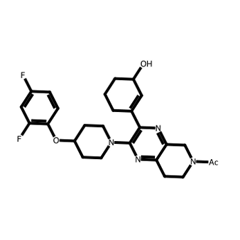 CC(=O)N1CCc2nc(N3CCC(Oc4ccc(F)cc4F)CC3)c(C3=CC(O)CCC3)nc2C1